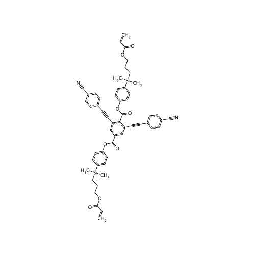 C=CC(=O)OCCC[Si](C)(C)c1ccc(OC(=O)c2cc(C#Cc3ccc(C#N)cc3)c(C(=O)Oc3ccc([Si](C)(C)CCCOC(=O)C=C)cc3)c(C#Cc3ccc(C#N)cc3)c2)cc1